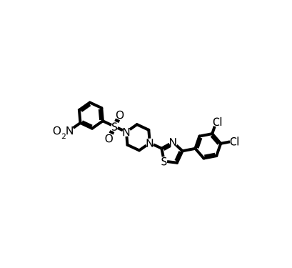 O=[N+]([O-])c1cccc(S(=O)(=O)N2CCN(c3nc(-c4ccc(Cl)c(Cl)c4)cs3)CC2)c1